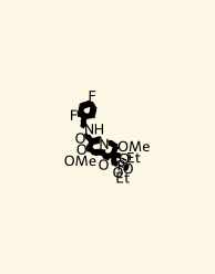 CCOP(=O)(CC1(C)C(=O)c2c(OC)c(=O)c(C(=O)NCc3ccc(F)cc3F)cn2CC1OC)OCC